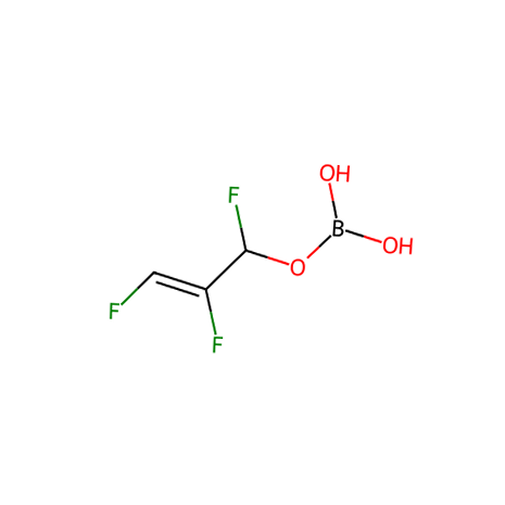 OB(O)OC(F)C(F)=CF